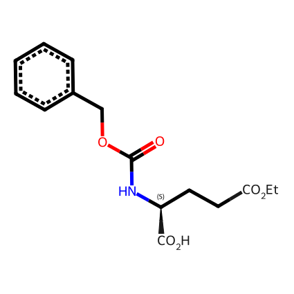 CCOC(=O)CC[C@H](NC(=O)OCc1ccccc1)C(=O)O